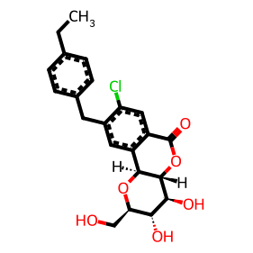 CCc1ccc(Cc2cc3c(cc2Cl)C(=O)O[C@@H]2[C@@H](O)[C@H](O)[C@@H](CO)O[C@@H]32)cc1